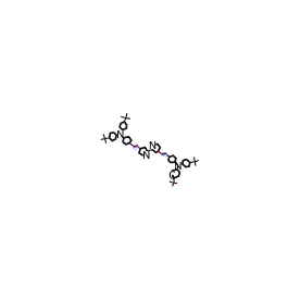 CC(C)(C)c1ccc(N(c2ccc(/C=C/c3ccnc(-c4cc(/C=C/c5ccc(N(c6ccc(C(C)(C)C)cc6)c6ccc(C(C)(C)C)cc6)cc5)ccn4)c3)cc2)c2ccc(C(C)(C)C)cc2)cc1